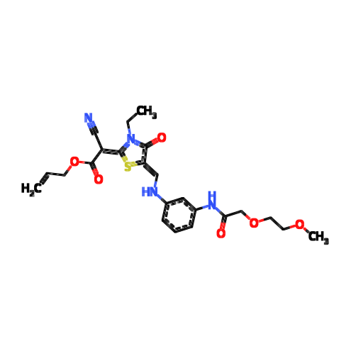 C=CCOC(=O)C(C#N)=c1sc(=CNc2cccc(NC(=O)COCCOC)c2)c(=O)n1CC